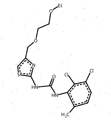 CCOCCOCc1csc(NC(=O)Nc2c(C)ccc(Cl)c2Cl)n1